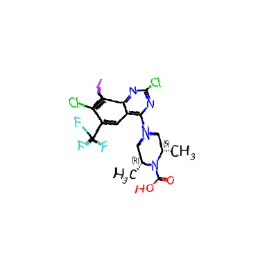 C[C@@H]1CN(c2nc(Cl)nc3c(I)c(Cl)c(C(F)(F)F)cc23)C[C@H](C)N1C(=O)O